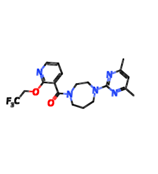 Cc1cc(C)nc(N2CCCN(C(=O)c3cccnc3OCC(F)(F)F)CC2)n1